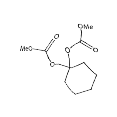 COC(=O)OC1(OC(=O)OC)CCCCC1